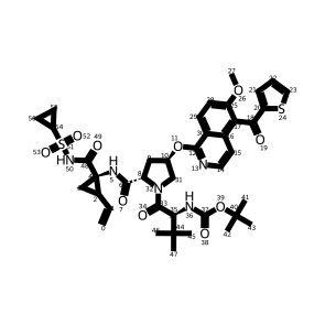 C=CC1C[C@]1(NC(=O)[C@@H]1C[C@@H](Oc2nccc3c(C(=O)c4cccs4)c(OC)ccc23)CN1C(=O)[C@@H](NC(=O)OC(C)(C)C)C(C)(C)C)C(=O)NS(=O)(=O)C1CC1